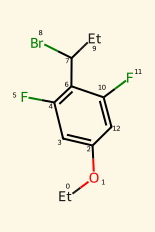 CCOc1cc(F)c(C(Br)CC)c(F)c1